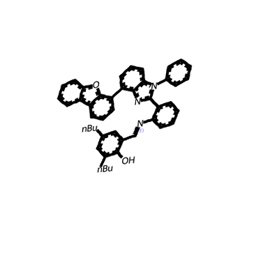 CCCCc1cc(/C=N/c2ccccc2-c2nc3c(-c4cccc5c4oc4ccccc45)cccc3n2-c2ccccc2)c(O)c(CCCC)c1